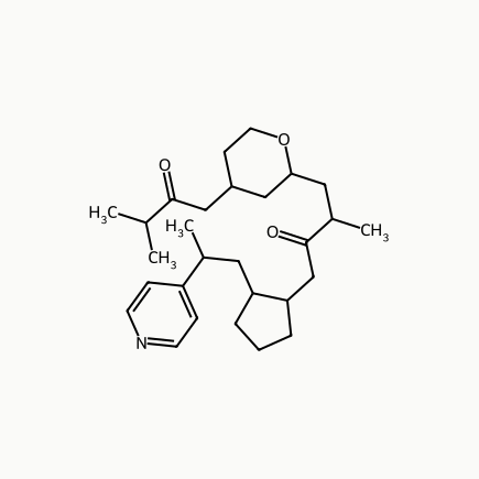 CC(C)C(=O)CC1CCOC(CC(C)C(=O)CC2CCCC2CC(C)c2ccncc2)C1